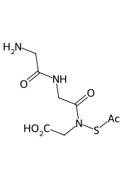 CC(=O)SN(CC(=O)O)C(=O)CNC(=O)CN